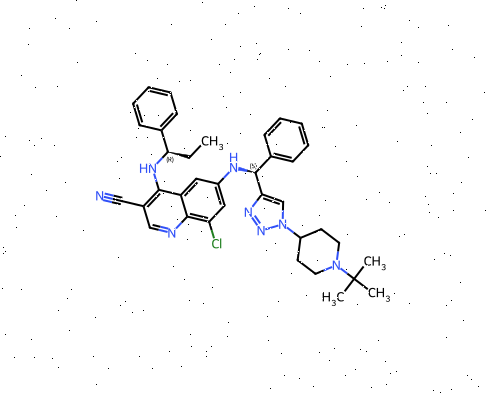 CC[C@@H](Nc1c(C#N)cnc2c(Cl)cc(N[C@@H](c3ccccc3)c3cn(C4CCN(C(C)(C)C)CC4)nn3)cc12)c1ccccc1